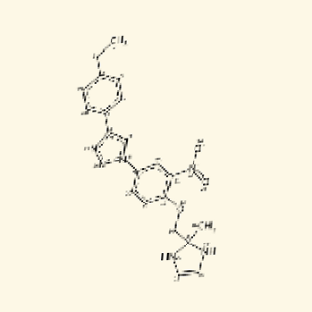 CCc1ccc(-c2cn(-c3ccc(OCC4(C)NC=CN4)c([N+](=O)[O-])c3)nn2)cc1